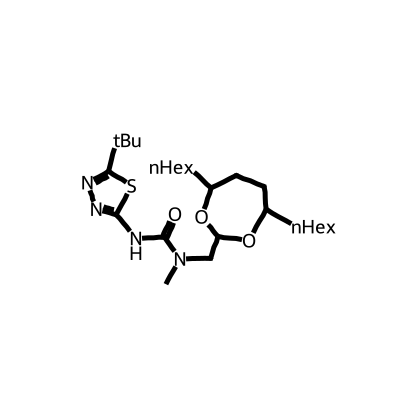 CCCCCCC1CCC(CCCCCC)OC(CN(C)C(=O)Nc2nnc(C(C)(C)C)s2)O1